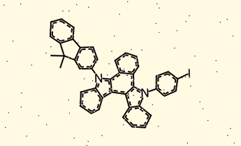 CC1(C)c2ccccc2-c2ccc(-n3c4ccccc4c4c5c6ccccc6n(-c6ccc(I)cc6)c5c5ccccc5c43)cc21